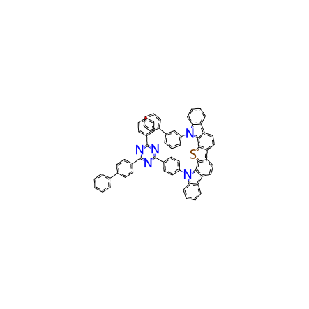 c1ccc(-c2ccc(-c3nc(-c4ccccc4)nc(-c4ccc(-n5c6ccccc6c6ccc7c8ccc9c%10ccccc%10n(-c%10cccc(-c%11ccccc%11)c%10)c9c8sc7c65)cc4)n3)cc2)cc1